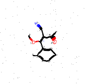 CO/C(=C(\C#N)C(C)=O)c1ccccc1C